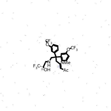 CN/C(=C\C(C)=O)CC(CNC[C@H](O)C(F)(F)F)(c1cccc(OC(F)(F)F)c1)c1cccc(OC(F)(F)F)c1